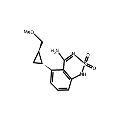 COC[C@@H]1C[C@H]1c1cccc2c1C(N)=NS(=O)(=O)N2